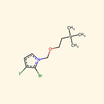 C[Si](C)(C)CCOCn1ccc(F)c1Br